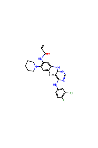 C=CC(=O)Nc1cc(Nc2cc(Nc3ccc(F)c(Cl)c3)ncn2)c(OC)cc1N1CCCCC1